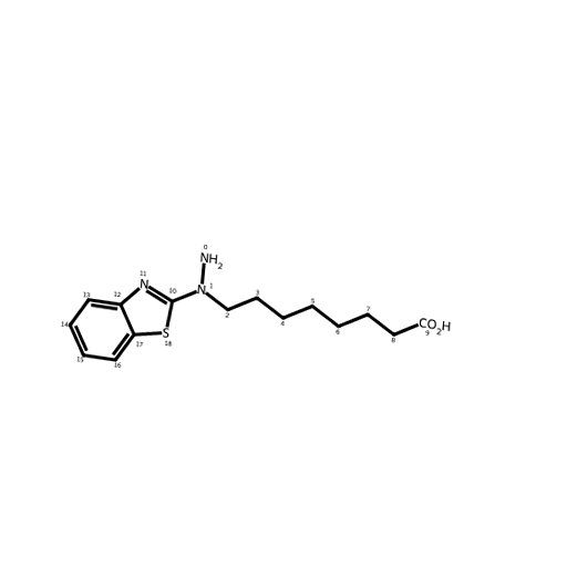 NN(CCCCCCCC(=O)O)c1nc2ccccc2s1